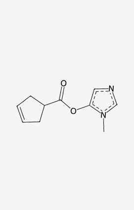 Cn1cncc1OC(=O)C1CC=CC1